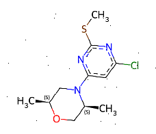 CSc1nc(Cl)cc(N2C[C@H](C)OC[C@@H]2C)n1